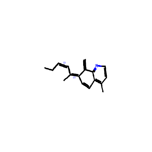 C=c1/c(=C(C)\C=C/CC)ccc2c(C)ccnc12